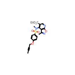 CC#CCOc1ccc(S(=O)(=O)N(C)c2c(C(=O)OCC)cnc3onc(C)c23)cc1